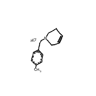 Cc1ccc(CN2CC=CCC2)cc1.Cl